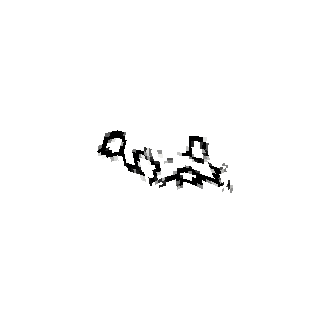 C=C(C(=O)N1CCCC(C(=O)O)C1)c1ccc(SC2COCC(Cc3ccccc3)O2)c(Cl)c1